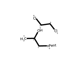 CCCCCCC(C)O.ClCCCl